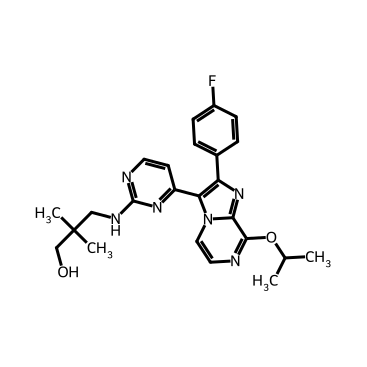 CC(C)Oc1nccn2c(-c3ccnc(NCC(C)(C)CO)n3)c(-c3ccc(F)cc3)nc12